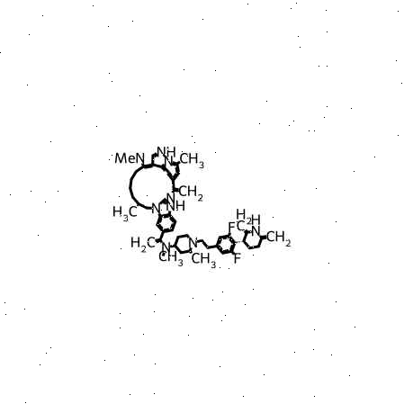 C=C1CC[C@H](c2c(F)cc(CCN3CCC(N(C)C(=C)c4ccc5c(c4)N4C[C@H](C)CCCC/C(NC)=C(/C=N)c6cc(cc(C)n6)C(=C)/N=C/4N5)CC3C)cc2F)C(=C)N1